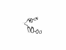 C[C@@H](CCOc1ccc(-c2ccc(Cl)cc2)cc1)CCN1CCN(c2ccncc2)C1=O